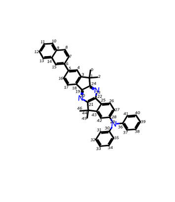 CC1(C)c2cc(-c3ccc4ccccc4c3)ccc2-c2nc3c(nc21)-c1ccc(N(c2ccccc2)c2ccccc2)cc1C3(C)C